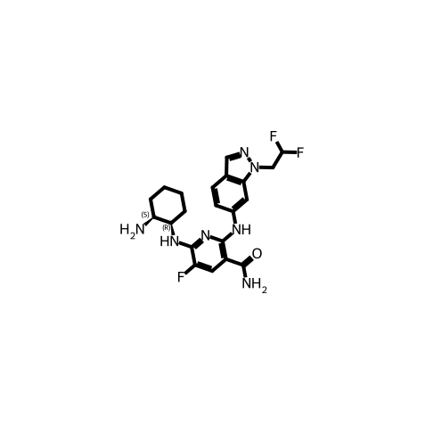 NC(=O)c1cc(F)c(N[C@@H]2CCCC[C@@H]2N)nc1Nc1ccc2cnn(CC(F)F)c2c1